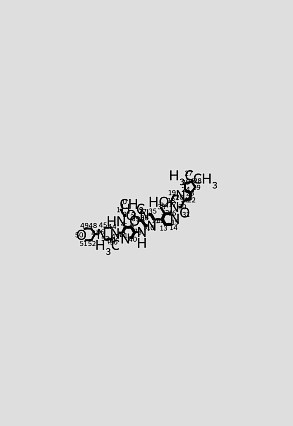 C=CC(=O)Nc1cc(Nc2nc(-c3ccnc(N4CCn5c(cc6c5CC(C)(C)C6)C4=O)c3CO)cn(C)c2=O)cnc1N1CCN(C2CCOCC2)C[C@@H]1C